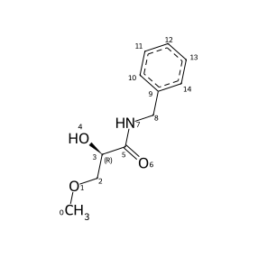 COC[C@@H](O)C(=O)NCc1ccccc1